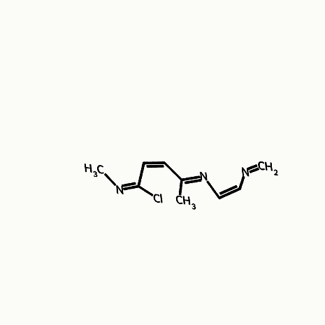 C=N\C=C/N=C(C)/C=C\C(Cl)=N/C